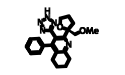 COC[C@]1(c2nc3c(c(-c4ccccc4)c2-c2nn[nH]n2)CCCC3)CCCO1